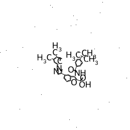 Cc1ccc(-n2cc(-c3ccc4oc(C(=O)O)c(NC(=O)c5ccc(C(C)(C)C)cc5)c4c3)cn2)cc1C